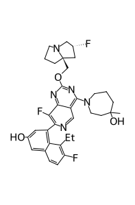 CCc1c(F)ccc2cc(O)cc(-c3ncc4c(N5CCCC(C)(O)CC5)nc(OC[C@@]56CCCN5C[C@H](F)C6)nc4c3F)c12